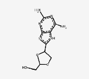 Nc1nc(N)c2[nH]c(C3COC(CO)O3)nc2n1